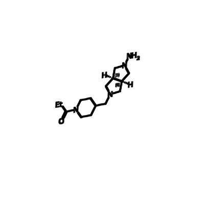 CCC(=O)N1CCC(CN2C[C@H]3CN(N)C[C@H]3C2)CC1